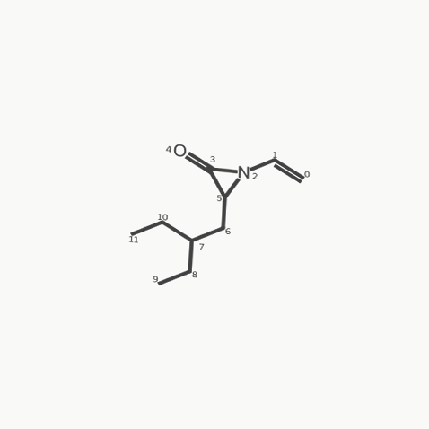 C=CN1C(=O)C1CC(CC)CC